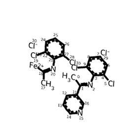 CC(=Nc1c(Cl)cccc1Cl)c1cccnc1.C[C]([Fe+2])=Nc1c(Cl)cccc1Cl.[Cl-].[Cl-]